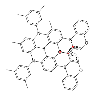 Cc1cc(C)cc(N2c3cc(C)cc4c3B(c3c2ccc2c3Oc3cccc5c3B2c2ccccc2O5)c2c3c(cc(C)c2N4c2cc(C)cc(C)c2)B2c4ccccc4Oc4cccc(c42)O3)c1